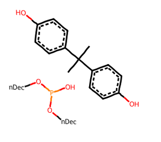 CC(C)(c1ccc(O)cc1)c1ccc(O)cc1.CCCCCCCCCCOP(O)OCCCCCCCCCC